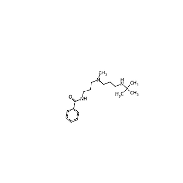 CN(CCCNC(=O)c1ccccc1)CCCNC(C)(C)C